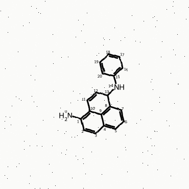 Nc1ccc2cccc3c2c1C=CC3Nc1ccccc1